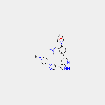 CCN1CCC(n2cc(-c3c[nH]c4ncc(-c5ccc(N6CC7CC(C6)O7)c(CN(C)C)c5)cc34)cn2)CC1